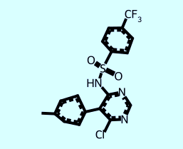 Cc1ccc(-c2c(Cl)ncnc2NS(=O)(=O)c2ccc(C(F)(F)F)cc2)cc1